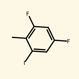 Cc1c(F)cc(F)cc1I